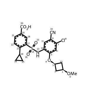 CO[C@H]1C[C@@H](Oc2cc(Cl)c(C#N)cc2NS(=O)(=O)c2cc(C(=O)O)ccc2C2CC2)C1